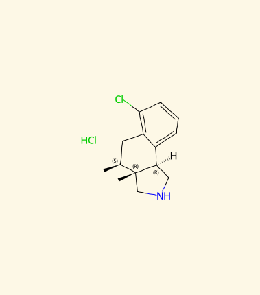 C[C@H]1Cc2c(Cl)cccc2[C@H]2CNC[C@@]21C.Cl